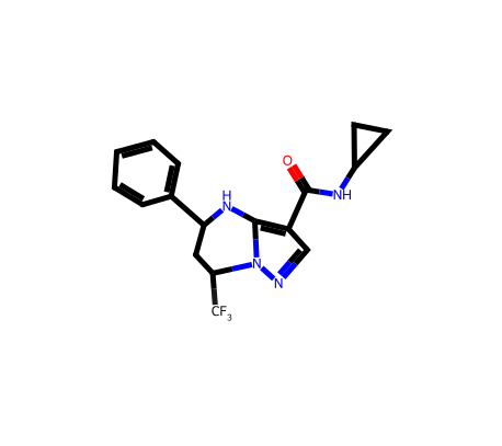 O=C(NC1CC1)c1cnn2c1NC(c1ccccc1)CC2C(F)(F)F